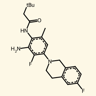 Cc1cc(N2CCc3cc(F)ccc3C2)c(F)c(N)c1NC(=O)CC(C)(C)C